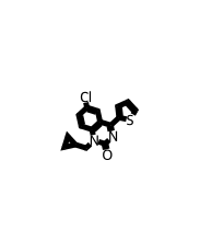 O=c1nc(-c2cccs2)c2cc(Cl)ccc2n1CC1CC1